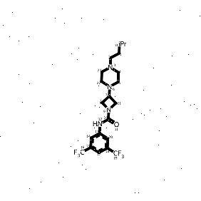 CC(C)CCN1CCN(C2CN(C(=O)Nc3cc(C(F)(F)F)cc(C(F)(F)F)c3)C2)CC1